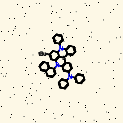 CC(C)(C)C1=CC2=C3B(c4ccc(N(c5ccccc5)c5ccccc5)cc4N2c2cccc4ccccc24)c2ccccc2N(c2ccccc2)C3C1